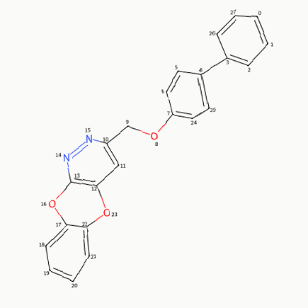 c1ccc(-c2ccc(OCc3cc4c(nn3)Oc3ccccc3O4)cc2)cc1